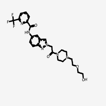 O=C(Nc1ccc2nn(CC(=O)N3CCN(CCOCCO)CC3)cc2c1)c1cccc(C(F)(F)F)n1